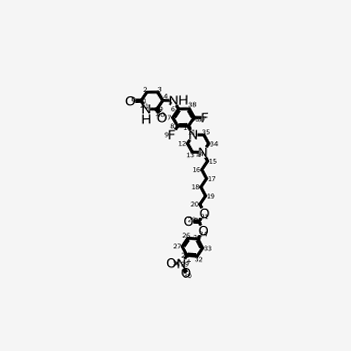 O=C1CCC(Nc2cc(F)c(N3CCN(CCCCCCOC(=O)Oc4ccc([N+](=O)[O-])cc4)CC3)c(F)c2)C(=O)N1